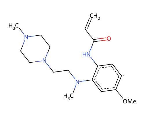 C=CC(=O)Nc1c[c]c(OC)cc1N(C)CCN1CCN(C)CC1